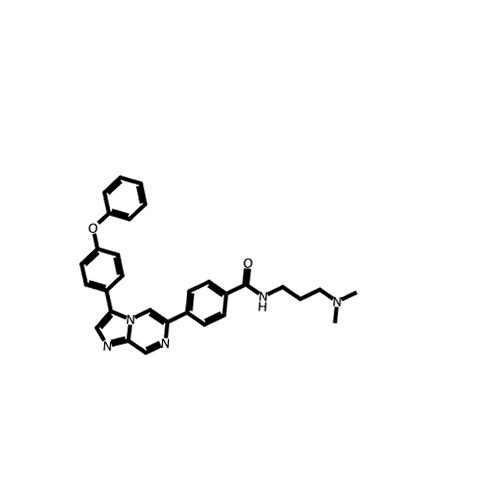 CN(C)CCCNC(=O)c1ccc(-c2cn3c(-c4ccc(Oc5ccccc5)cc4)cnc3cn2)cc1